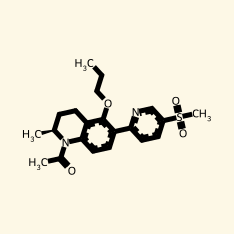 CCCOc1c(-c2ccc(S(C)(=O)=O)cn2)ccc2c1CC[C@H](C)N2C(C)=O